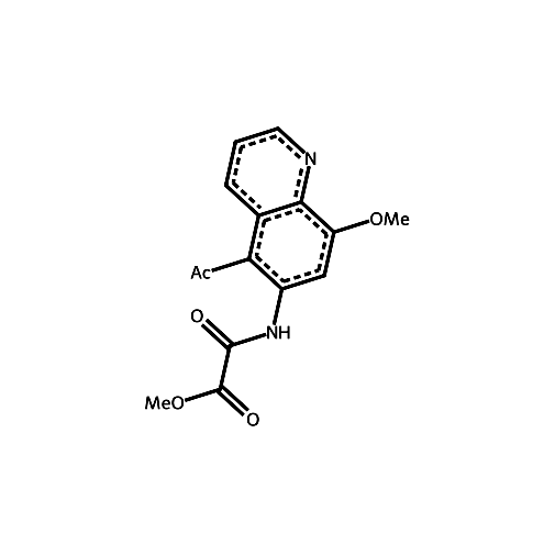 COC(=O)C(=O)Nc1cc(OC)c2ncccc2c1C(C)=O